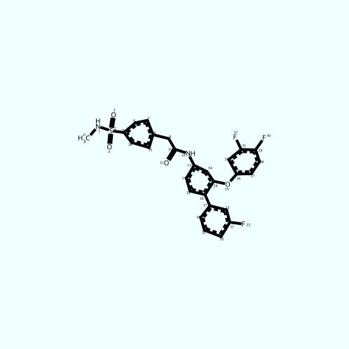 CNS(=O)(=O)c1ccc(CC(=O)Nc2ccc(-c3cccc(F)c3)c(Oc3ccc(F)c(F)c3)c2)cc1